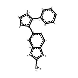 Nc1nc2ccc(-c3nc[nH]c3-c3ccccc3)cc2s1